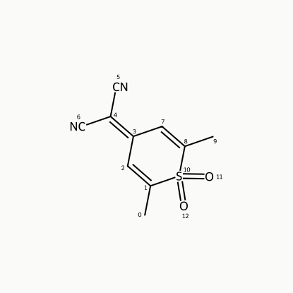 CC1=CC(=C(C#N)C#N)C=C(C)S1(=O)=O